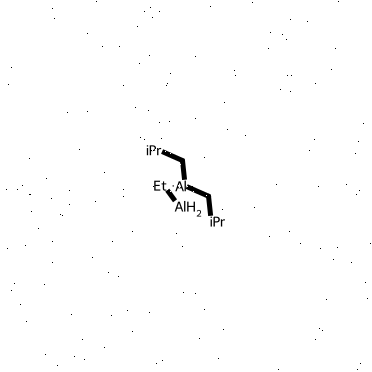 CC(C)[CH2][Al][CH2]C(C)C.C[CH2][AlH2]